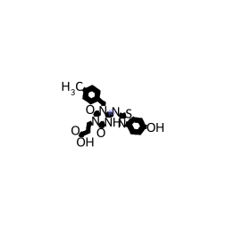 Cc1ccc(Cn2c(=O)n(CCC(=O)O)c(=O)[nH]/c2=N\c2nc3ccc(O)cc3s2)cc1